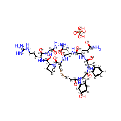 N=C(N)NCCC[C@H](NC(=O)[C@@H]1CCCN1C(=O)[C@@H]1CSSCCC(=O)N[C@@H](Cc2ccc(O)cc2)C(=O)N[C@@H](Cc2ccccc2)C(=O)N[C@@H](CCC(N)=O)C(=O)N[C@@H](CC(N)=O)C(=O)N1)C(=O)NCC(N)=O.O=S(=O)(O)O